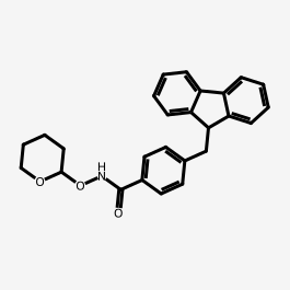 O=C(NOC1CCCCO1)c1ccc(CC2c3ccccc3-c3ccccc32)cc1